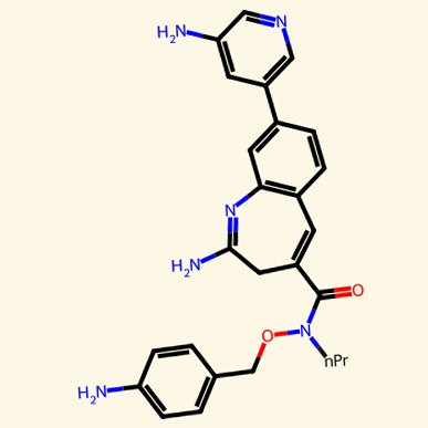 CCCN(OCc1ccc(N)cc1)C(=O)C1=Cc2ccc(-c3cncc(N)c3)cc2N=C(N)C1